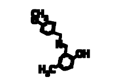 COc1ccc(C/N=C/c2cc(C)ccc2O)cc1